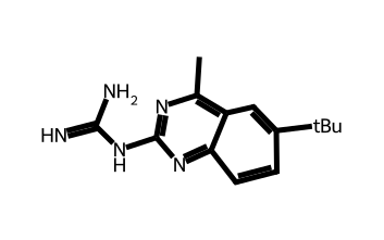 Cc1nc(NC(=N)N)nc2ccc(C(C)(C)C)cc12